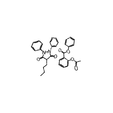 CC(=O)Oc1ccccc1C(=O)Oc1ccccc1.CCCCC1C(=O)N(c2ccccc2)N(c2ccccc2)C1=O